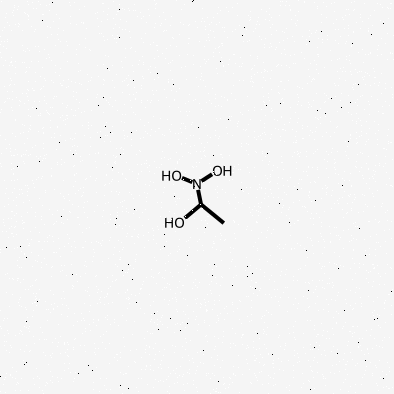 CC(O)N(O)O